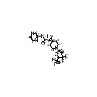 O=C(Nc1cnccn1)C1CC12CCN(C(=O)OC(C(F)(F)F)C(F)(F)F)CC2